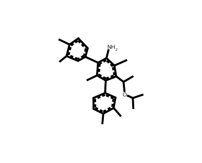 Cc1ccc(-c2c(C)c(-c3ccc(C)c(C)c3)c(C(C)OC(C)C)c(C)c2N)cc1C